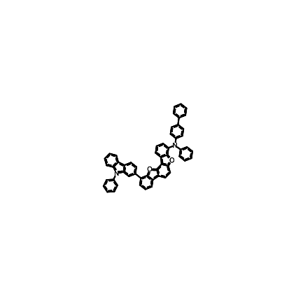 c1ccc(-c2ccc(N(c3ccccc3)c3cccc4c3oc3ccc5c6cccc(-c7ccc8c9ccccc9n(-c9ccccc9)c8c7)c6oc5c34)cc2)cc1